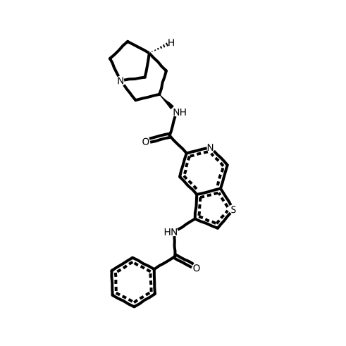 O=C(Nc1csc2cnc(C(=O)N[C@@H]3C[C@@H]4CCN(C4)C3)cc12)c1ccccc1